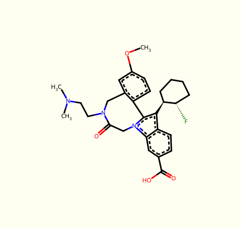 COc1ccc2c(c1)CN(CCN(C)C)C(=O)Cn1c-2c([C@H]2CCCC[C@@H]2F)c2ccc(C(=O)O)cc21